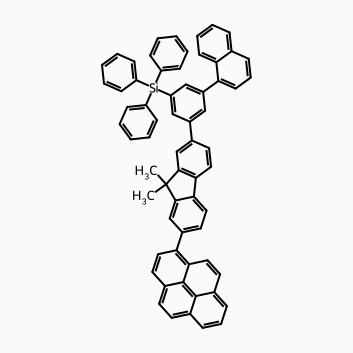 CC1(C)c2cc(-c3cc(-c4cccc5ccccc45)cc([Si](c4ccccc4)(c4ccccc4)c4ccccc4)c3)ccc2-c2ccc(-c3ccc4ccc5cccc6ccc3c4c56)cc21